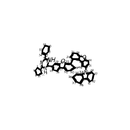 C1=CC(C2N=C(c3ccccc3)NC(c3ccc4c(c3)oc3c(-c5cccc6oc7ccc(-n8c9ccccc9c9ccccc98)cc7c56)cccc34)N2)=CCC1